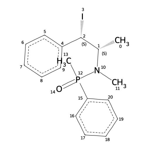 C[C@@H]([C@@H](I)c1ccccc1)N(C)P(C)(=O)c1ccccc1